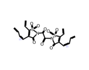 C=C/C=C\C1=C(C=C)S(=O)(=O)N(C(=O)C(=O)N2C(=O)C(/C=C\C=C)=C(C=C)S2(=O)=O)C1=O